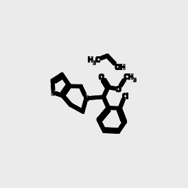 CCO.COC(=O)C(c1ccccc1Cl)N1CCc2sccc2C1